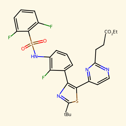 CCOC(=O)CCc1nccc(-c2sc(C(C)(C)C)nc2-c2cccc(NS(=O)(=O)c3c(F)cccc3F)c2F)n1